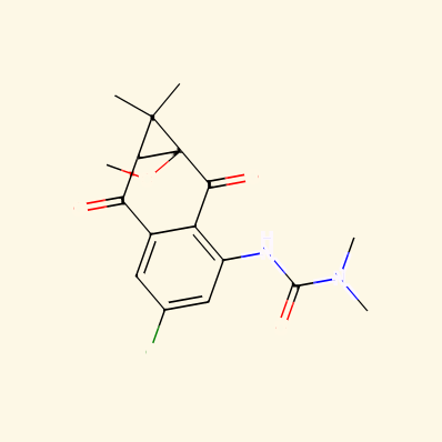 COC12C(=O)c3c(NC(=O)N(C)C)cc(Cl)cc3C(=O)C1C2(C)C